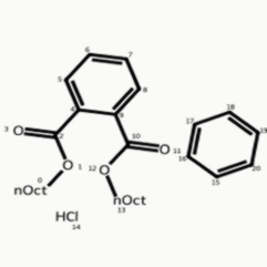 CCCCCCCCOC(=O)c1ccccc1C(=O)OCCCCCCCC.Cl.c1ccccc1